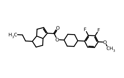 CCCC1CCC2C(C(=O)OC3CCC(c4ccc(OC)c(F)c4F)CC3)=CCC12